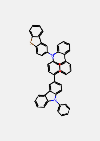 c1ccc(-c2ccccc2N(c2ccc(-c3ccc4c(c3)c3ccccc3n4-c3ccccc3)cc2)c2ccc3sc4ccccc4c3c2)cc1